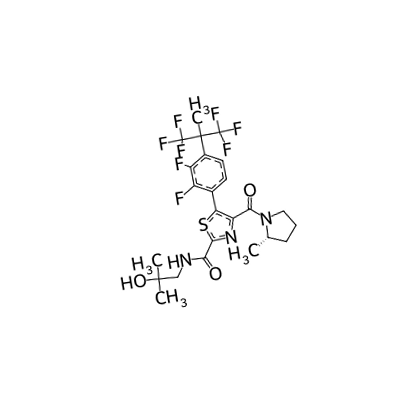 C[C@H]1CCCN1C(=O)c1nc(C(=O)NCC(C)(C)O)sc1-c1ccc(C(C)(C(F)(F)F)C(F)(F)F)c(F)c1F